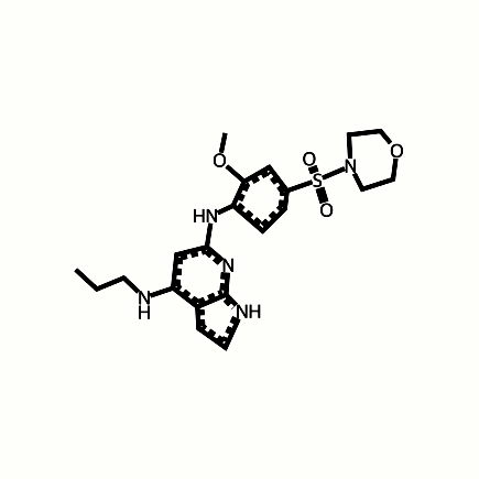 CCCNc1cc(Nc2ccc(S(=O)(=O)N3CCOCC3)cc2OC)nc2[nH]ccc12